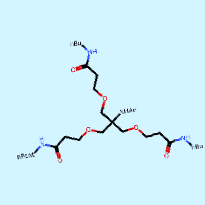 CCCCCNC(=O)CCOCC(COCCC(=O)NCCCC)(COCCC(=O)NCCCC)NC(C)=O